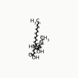 CCCCCCCCCCCC(=O)NC(CCC(=O)O)C(=O)O.CCOCC